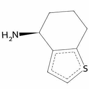 N[C@H]1CCCc2sccc21